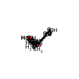 C=C(C)[C@@H]1CC[C@]2(C(=O)NCCCCCCCC(=O)N3CCCC(C(=O)O)C3)CC[C@]3(C)[C@H](CCC4[C@@]5(C)CC[C@H](O)C(C)(C)[C@@H]5CC[C@]43C)[C@@H]12